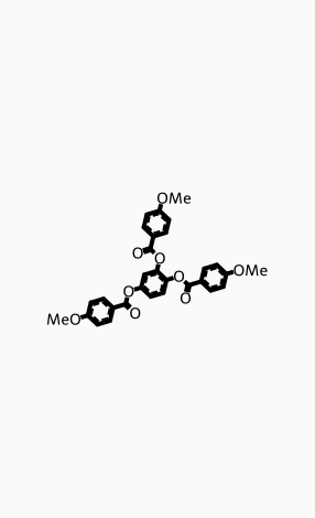 COc1ccc(C(=O)Oc2ccc(OC(=O)c3ccc(OC)cc3)c(OC(=O)c3ccc(OC)cc3)c2)cc1